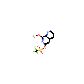 COc1nc(OS(=O)(=O)C(F)(F)F)cc2cccnc12